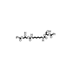 CC(C)C(=O)OCC(O)COC(=O)NCCCCCCNC(=O)OC(CO)COC(=O)C(C)C